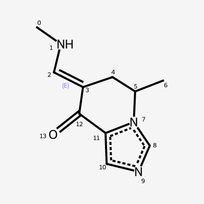 CN/C=C1\CC(C)n2cncc2C1=O